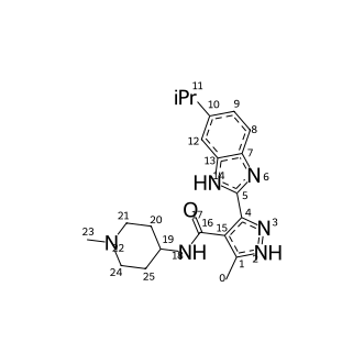 Cc1[nH]nc(-c2nc3ccc(C(C)C)cc3[nH]2)c1C(=O)NC1CCN(C)CC1